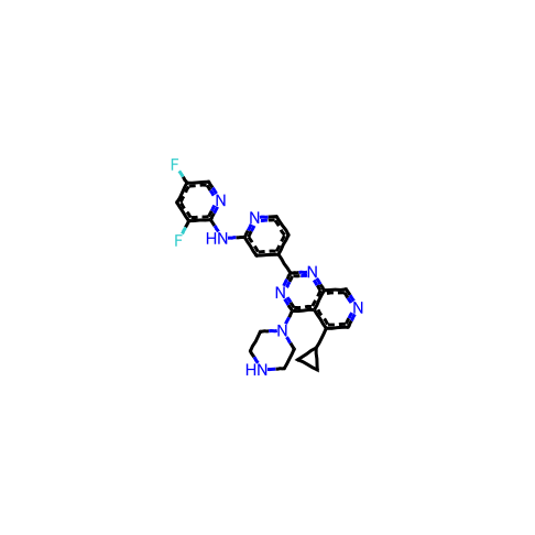 Fc1cnc(Nc2cc(-c3nc(N4CCNCC4)c4c(C5CC5)cncc4n3)ccn2)c(F)c1